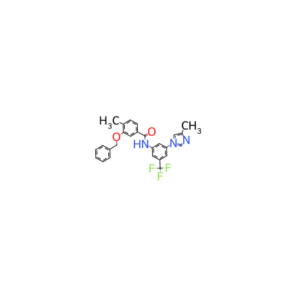 Cc1cn(-c2cc(NC(=O)c3ccc(C)c(OCc4ccccc4)c3)cc(C(F)(F)F)c2)cn1